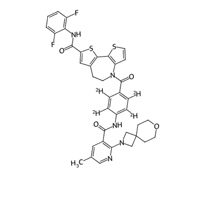 [2H]c1c([2H])c(C(=O)N2CCc3cc(C(=O)Nc4c(F)cccc4F)sc3-c3sccc32)c([2H])c([2H])c1NC(=O)c1cc(C)cnc1N1CC2(CCOCC2)C1